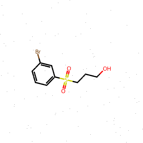 O=S(=O)(CCCO)c1cccc(Br)c1